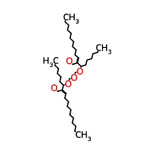 CCCCCCCCCCC=C(C=O)C(CCCCCC)OCOCOC(CCCCCC)C(C=O)=CCCCCCCCCCC